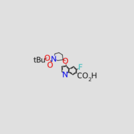 CC(C)(C)OC(=O)N1CCC[C@@H](Oc2ccnc3cc(C(=O)O)c(F)cc23)C1